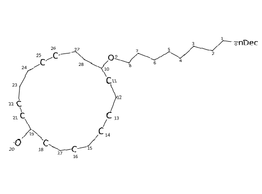 [CH2]CCCCCCCCCCCCCCCCCOC1CCCCCCCCC([O])CCCCCCCC1